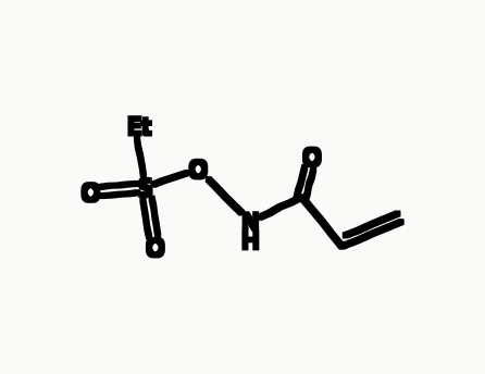 C=CC(=O)NOS(=O)(=O)CC